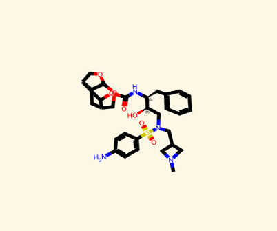 CN1CC(CN(C[C@@H](O)[C@H](Cc2ccccc2)NC(=O)OC2C3COC4OCC2C4C3)S(=O)(=O)c2ccc(N)cc2)C1